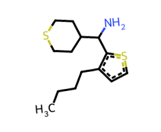 CCCCc1ccsc1C(N)C1CCSCC1